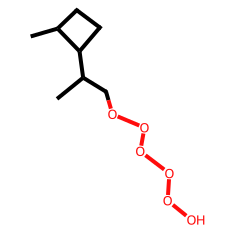 CC1CCC1C(C)COOOOOO